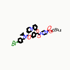 CC(C)(C)OC(=O)N1CCN(C(=O)C(Oc2cccc(N3CCC[C@@H](C(=O)N(Cc4ccc(Br)cc4)C4CC4)C3)c2)c2ccccc2)CC1